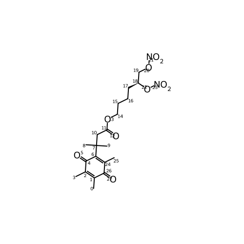 CC1=C(C)C(=O)C(C(C)(C)CC(=O)OCCCC[C@@H](CO[N+](=O)[O-])O[N+](=O)[O-])=C(C)C1=O